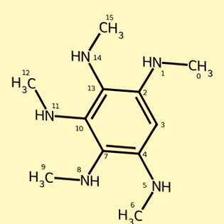 CNc1cc(NC)c(NC)c(NC)c1NC